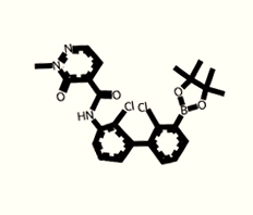 Cn1nccc(C(=O)Nc2cccc(-c3cccc(B4OC(C)(C)C(C)(C)O4)c3Cl)c2Cl)c1=O